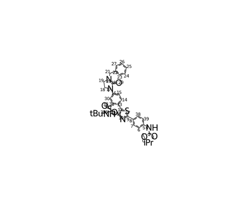 CC(C)OC(=O)Nc1ccc(-c2ncc(-c3ccc(N4CCN(Cc5ccccc5)C4=O)cc3S(=O)(=O)NC(C)(C)C)s2)cc1